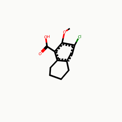 COc1c(Cl)cc2c(c1C(=O)O)CCCC2